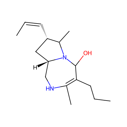 C/C=C\[C@H]1C[C@H]2CNC(C)=C(CCC)C(O)N2C1C